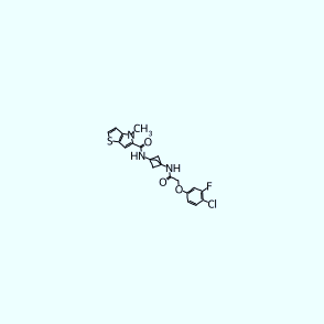 Cn1c(C(=O)NC23CC(NC(=O)COc4ccc(Cl)c(F)c4)(C2)C3)cc2sccc21